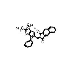 Cc1nc2c(cc(C=C3C(=O)c4cc5ccccc5cc4C3=O)n2-c2ccccc2)n1C